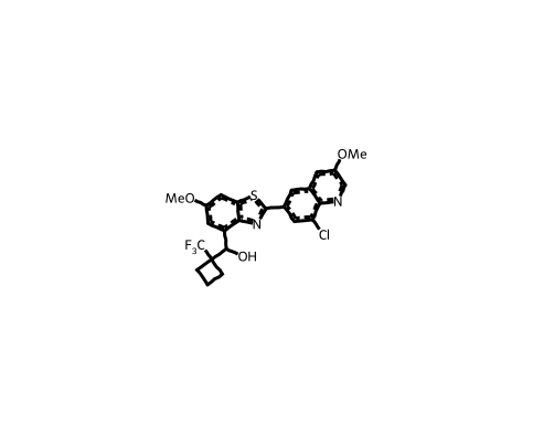 COc1cnc2c(Cl)cc(-c3nc4c(C(O)C5(C(F)(F)F)CCC5)cc(OC)cc4s3)cc2c1